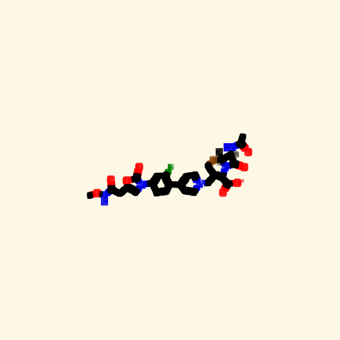 CONC(=O)Cc1cn(-c2ccc(-c3cc[n+](CC4=C(C(=O)[O-])N5C(=O)[C@@H](NC(C)=O)[C@@H]5SC4)cc3)c(F)c2)c(=O)o1